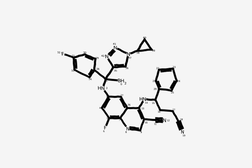 BC(Nc1cc(F)c2ncc(C#N)c(NC(CCC#N)c3ccccc3)c2c1)(c1ccc(F)cc1)c1cn(C2CC2)nn1